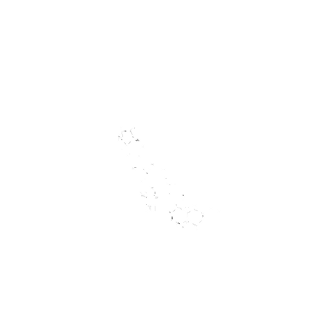 COc1ccc2nccc([C@H](F)CC[C@@H]3CCN(CCCc4nccn4C)C[C@@H]3CC(=O)O)c2c1